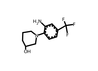 Nc1cc(C(F)(F)F)ccc1N1CCCC(O)C1